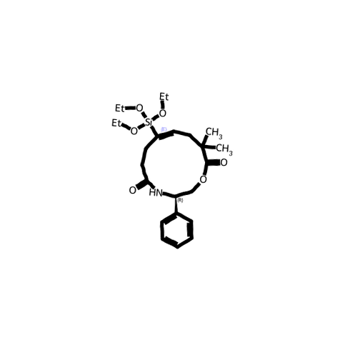 CCO[Si](OCC)(OCC)/C1=C/CC(C)(C)C(=O)OC[C@@H](c2ccccc2)NC(=O)CC1